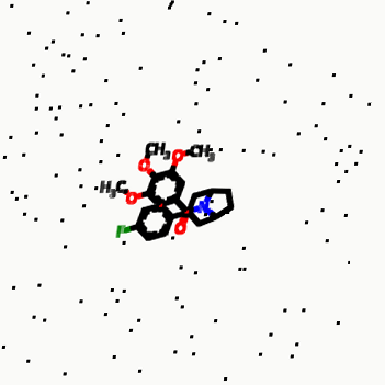 COc1cc(C(=O)N2C3CCC2CC(c2ccc(F)cc2)C3)cc(OC)c1OC